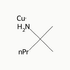 CCCC(C)(C)N.[Cu]